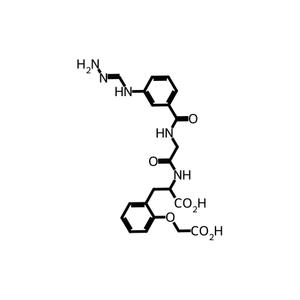 NN=CNc1cccc(C(=O)NCC(=O)NC(Cc2ccccc2OCC(=O)O)C(=O)O)c1